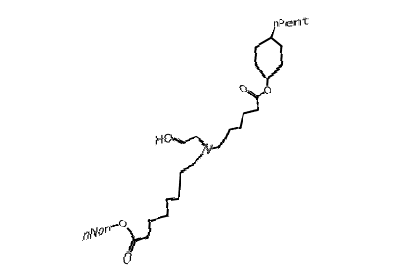 CCCCCCCCCOC(=O)CCCCCCCN(CCO)CCCCCC(=O)OC1CCC(CCCCC)CC1